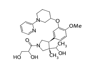 COc1ccc([C@@H]2CN(C(=O)C(O)CO)C[C@@]2(C)C(C)O)cc1OC1CCCN(c2ccccn2)C1